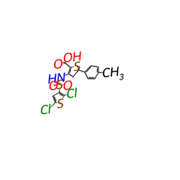 Cc1ccc(C2CC(NS(=O)(=O)c3cc(Cl)sc3Cl)=C(C(=O)O)S2)cc1